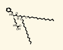 CCCCCCCCCCCCCCOCC(CNC(=O)[C@H](CCCCNC(=O)O)NCc1ccccc1)OCCCCCCCCCCCCCC